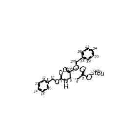 CC(C)(C)OC(=O)C[C@H](NC(=O)OCc1ccccc1)C(=O)OCc1ccccc1